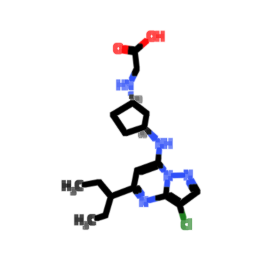 CCC(CC)c1cc(N[C@H]2CC[C@H](NCC(=O)O)C2)n2ncc(Cl)c2n1